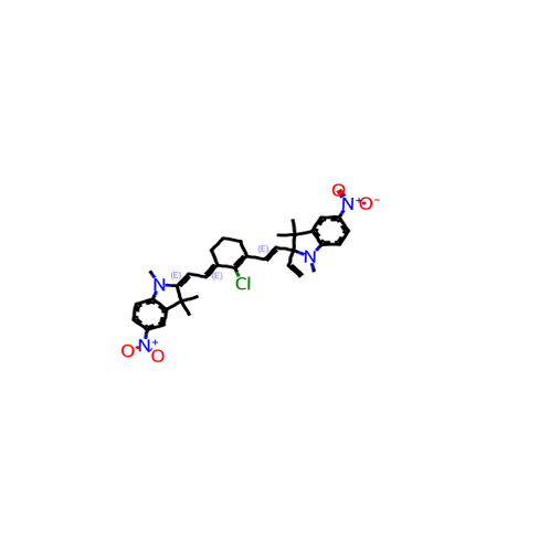 C=CC1(/C=C/C2=C(Cl)C(=C/C=C3/N(C)c4ccc([N+](=O)[O-])cc4C3(C)C)/CCC2)N(C)c2ccc([N+](=O)[O-])cc2C1(C)C